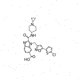 O=C(O)c1ccc2nc(C(=O)NC3CCN(C4CC4)CC3)n(Cc3cc(-c4ccc(Cl)s4)on3)c2c1